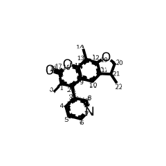 Cc1c(-c2cccnc2)c2cc3c(c(C)c2oc1=O)OCC3C